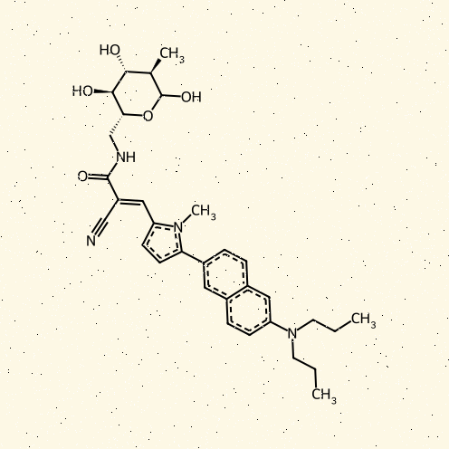 CCCN(CCC)c1ccc2cc(-c3ccc(/C=C(\C#N)C(=O)NC[C@H]4OC(O)[C@H](C)[C@@H](O)[C@@H]4O)n3C)ccc2c1